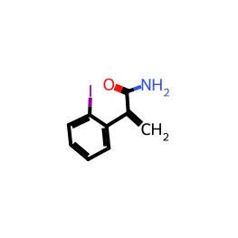 C=C(C(N)=O)c1ccccc1I